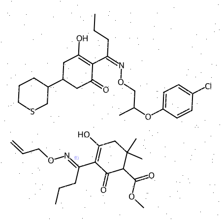 C=CCO/N=C(\CCC)C1=C(O)CC(C)(C)C(C(=O)OC)C1=O.CCCC(=NOCC(C)Oc1ccc(Cl)cc1)C1=C(O)CC(C2CCCSC2)CC1=O